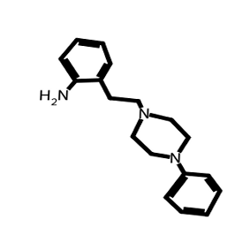 Nc1ccccc1CCN1CCN(c2ccccc2)CC1